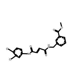 COC(=O)c1cccc(CNC(=O)C=CC(=O)Nc2ccc(Cl)c(Cl)c2)c1